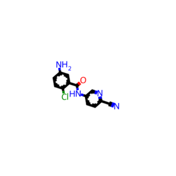 N#Cc1ccc(NC(=O)c2cc(N)ccc2Cl)cn1